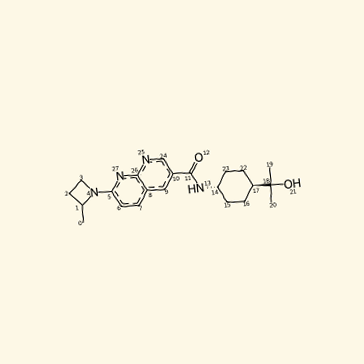 CC1CCN1c1ccc2cc(C(=O)N[C@H]3CC[C@H](C(C)(C)O)CC3)cnc2n1